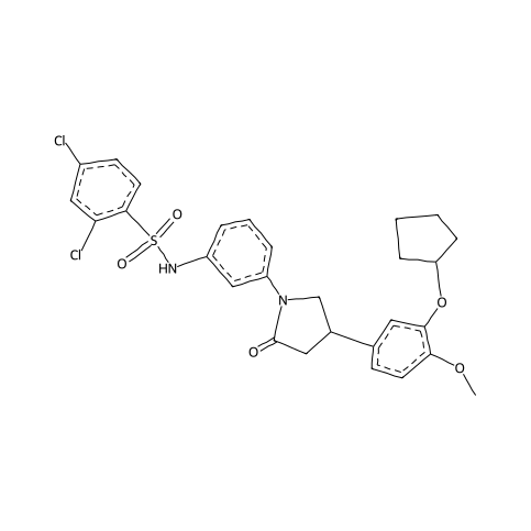 COc1ccc(C2CC(=O)N(c3cccc(NS(=O)(=O)c4ccc(Cl)cc4Cl)c3)C2)cc1OC1CCCC1